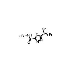 CCCNC(=O)c1nnc([S+]([O-])CCC)s1